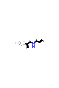 C=CCNCC(=C)C(=O)O